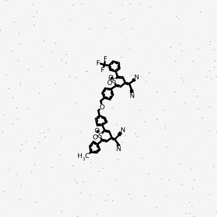 Cc1ccc(C2=CC(=C(C#N)C#N)C=C(c3ccc(COCc4ccc(C5=CC(=C(C#N)C#N)C=C(c6cccc(C(F)(F)F)c6)S5(=O)=O)cc4)cc3)S2(=O)=O)cc1